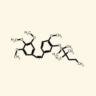 CCCC(C)(C)[Si](C)(C)Oc1cc(/C=C\c2cc(OC)c(OC)c(OC)c2)ccc1OC